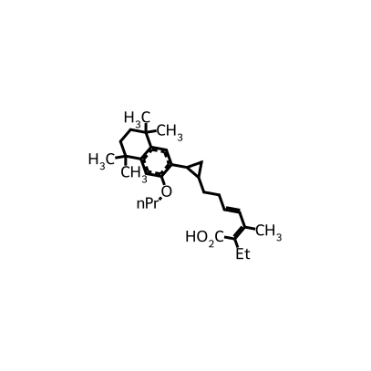 CCCOc1cc2c(cc1C1CC1CCC=CC(C)=C(CC)C(=O)O)C(C)(C)CCC2(C)C